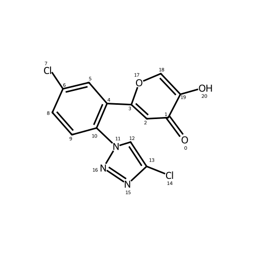 O=c1cc(-c2cc(Cl)ccc2-n2cc(Cl)nn2)occ1O